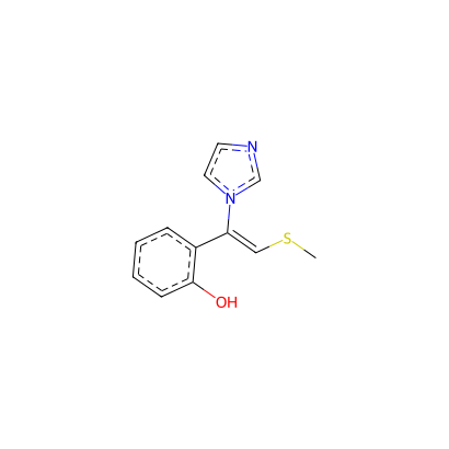 CSC=C(c1ccccc1O)n1ccnc1